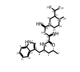 CCCC(Cc1c[nH]c2ccccc12)NC(=O)C(=N)SC(=N)N1CCN(C)C(C(F)F)C1